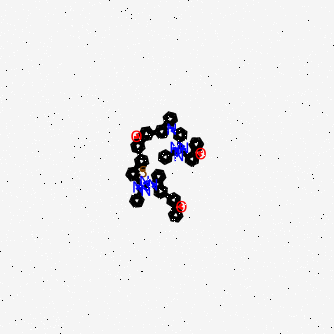 c1ccc(-c2nc(-c3cccc(-n4c5ccccc5c5cc(-c6ccc7oc8ccc(-c9ccc%10sc%11c(-c%12nc(-c%13ccccc%13)nc(-n%13c%14ccccc%14c%14cc(-c%15ccc%16oc%17ccccc%17c%16c%15)ccc%14%13)n%12)cccc%11c%10c9)cc8c7c6)ccc54)c3)nc(-c3cccc4oc5ccccc5c34)n2)cc1